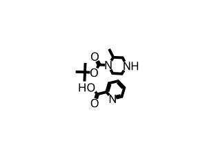 CC1CNCCN1C(=O)OC(C)(C)C.O=C(O)c1ccccn1